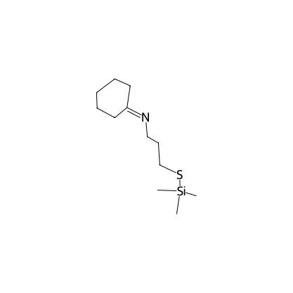 C[Si](C)(C)SCCCN=C1CCCCC1